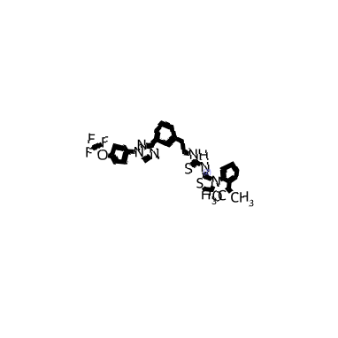 CC(C)c1ccccc1N1C(=O)CS/C1=N\C(=S)NCCc1cccc(-c2ncn(-c3ccc(OC(F)(F)F)cc3)n2)c1